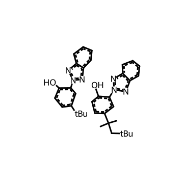 CC(C)(C)CC(C)(C)c1ccc(O)c(-n2nc3ccccc3n2)c1.CC(C)(C)c1ccc(O)c(-n2nc3ccccc3n2)c1